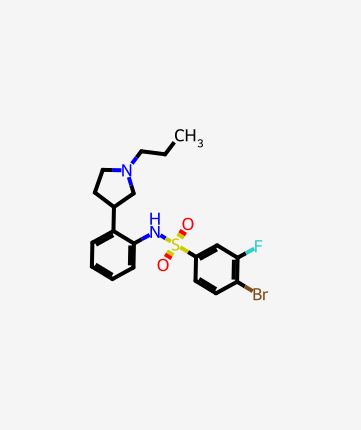 CCCN1CCC(c2ccccc2NS(=O)(=O)c2ccc(Br)c(F)c2)C1